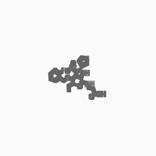 CC[C@H](C)C(OCc1ccccc1F)C1C([N+](=O)[O-])[C@H](c2ccsc2)N[C@@H]1C(=O)NCCC(=O)O